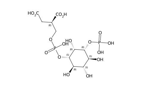 O=C(O)C[C@H](COP(=O)(O)O[C@@H]1[C@H](O)[C@H](OP(=O)(O)O)[C@@H](O)[C@H](O)[C@H]1O)C(=O)O